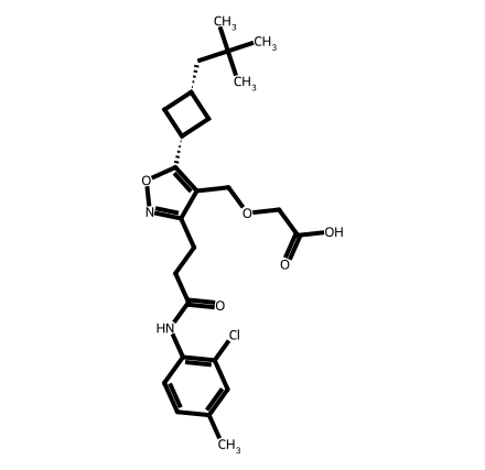 Cc1ccc(NC(=O)CCc2noc([C@H]3C[C@@H](CC(C)(C)C)C3)c2COCC(=O)O)c(Cl)c1